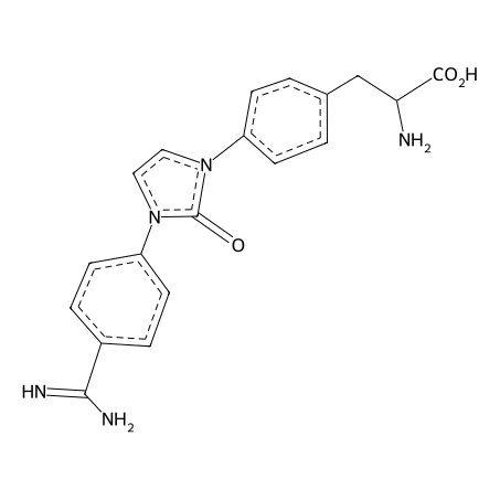 N=C(N)c1ccc(-n2ccn(-c3ccc(CC(N)C(=O)O)cc3)c2=O)cc1